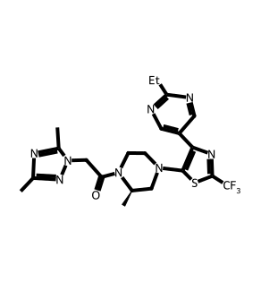 CCc1ncc(-c2nc(C(F)(F)F)sc2N2CCN(C(=O)Cn3nc(C)nc3C)[C@H](C)C2)cn1